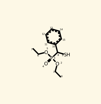 CCOP(=O)(OCC)C(S)c1ccccc1